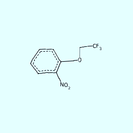 O=[N+]([O-])c1ccccc1OCC(F)(F)F